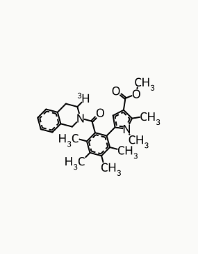 [3H]C1Cc2ccccc2CN1C(=O)c1c(C)c(C)c(C)c(C)c1-c1cc(C(=O)OC)c(C)n1C